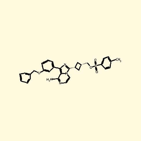 Cc1ccc(S(=O)(=O)OC[C@H]2C[C@@H](c3nc(-c4cccc(OCc5ccccc5)c4)c4c(N)nccn43)C2)cc1